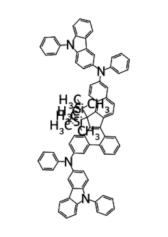 C[Si](C)(C)C1([Si](C)(C)C)c2c(ccc3cc(N(c4ccccc4)c4ccc5c(c4)c4ccccc4n5-c4ccccc4)ccc23)-c2c1c1ccc(N(c3ccccc3)c3ccc4c(c3)c3ccccc3n4-c3ccccc3)cc1c1ccccc21